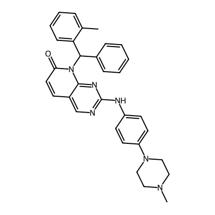 Cc1ccccc1C(c1ccccc1)n1c(=O)ccc2cnc(Nc3ccc(N4CCN(C)CC4)cc3)nc21